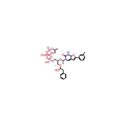 Cc1cccc(C2=CC3=CN([C@@H](C)O[C@H](COP(=O)(O)OP(=O)(O)OP(=O)(O)OC(C)C)[C@@H](C)OC(O)Cc4ccccc4)C(=O)NC3O2)c1